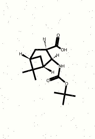 CC(C)(C)OC(=O)N[C@H]1[C@H]2C[C@@H](C[C@H]1C(=O)O)C2(C)C